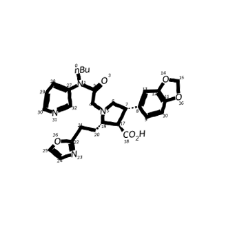 CCCCN(C(=O)CN1C[C@H](c2ccc3c(c2)OCO3)[C@@H](C(=O)O)[C@@H]1CCc1ncco1)c1cccnc1